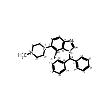 CN1CCN(c2ccc3ncn(C(c4ccccc4)c4ccccc4)c3c2F)CC1